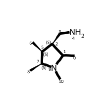 CC1[C@H](CN)[C@H](C)[C@H](C)N1C